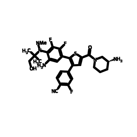 CNN(c1c(N)cc(-c2sc(C(=O)N3CCC[C@@H](N)C3)cc2-c2ccc(C#N)c(F)c2)c(F)c1F)C(C)(C)CO